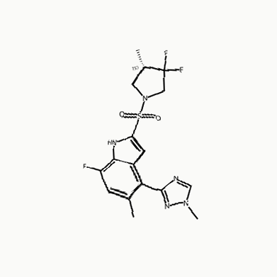 Cc1cc(F)c2[nH]c(S(=O)(=O)N3C[C@H](C)C(F)(F)C3)cc2c1-c1ncn(C)n1